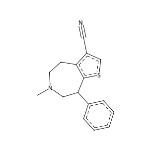 CN1CCc2c(C#N)csc2C(c2ccccc2)C1